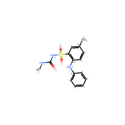 CC(C)NC(=O)NS(=O)(=O)c1cc([N+](=O)[O-])ccc1Nc1ccccc1